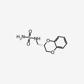 NS(=O)(=O)NC[C@H]1COc2ccccc2O1